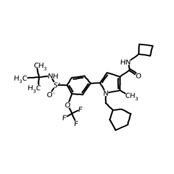 Cc1c(C(=O)NC2CCC2)cc(-c2ccc([S+]([O-])NC(C)(C)C)c(OC(F)(F)F)c2)n1CC1CCCCC1